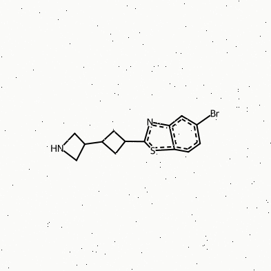 Brc1ccc2sc(C3CC(C4CNC4)C3)nc2c1